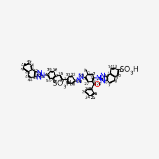 Cc1cc(-n2n3c4ccc5cc(S(=O)(=O)O)ccc5c4n23)c(C(=O)c2ccccc2)cc1N=Nc1ccc(C=Cc2ccc(-n3n4c5ccc6ccccc6c5n34)cc2S(=O)(=O)O)cc1